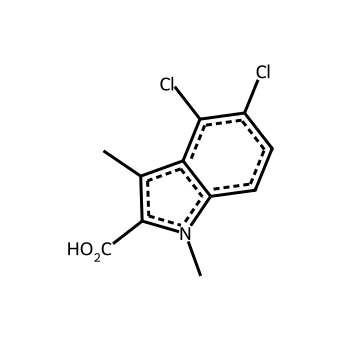 Cc1c(C(=O)O)n(C)c2ccc(Cl)c(Cl)c12